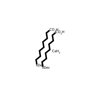 CCCCCCCCCCCCCCCCCC(=O)O.CCCCCCCCCCCCCCCCCC(=O)O.[CaH2]